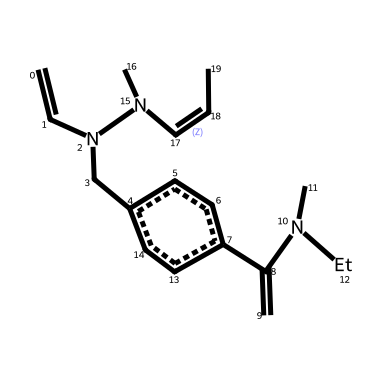 C=CN(Cc1ccc(C(=C)N(C)CC)cc1)N(C)/C=C\C